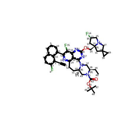 C#Cc1c(F)ccc2cccc(-c3nc4c5c(nc(OC[C@@]67C[C@@H](F)CN6CC6(CC6)C7)nc5c3F)N3C[C@@H](CC)N(C(=O)OC(C)(C)C)C[C@H]3CC4)c12